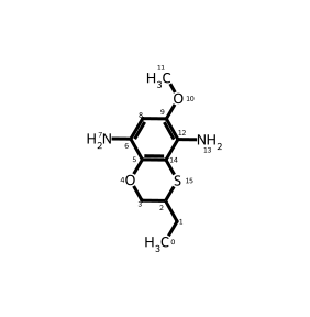 CCC1COc2c(N)cc(OC)c(N)c2S1